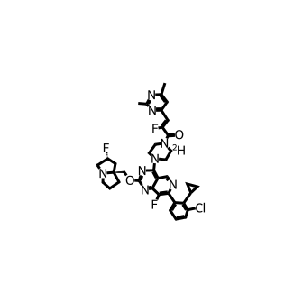 [2H][C@H]1CN(c2nc(OC[C@@]34CCCN3C[C@H](F)C4)nc3c(F)c(-c4cccc(Cl)c4C4CC4)ncc23)CCN1C(=O)/C(F)=C/c1cc(C)nc(C)n1